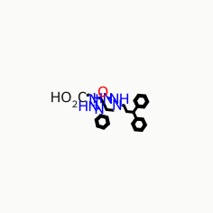 O=C(O)CN1NN(c2ccccc2)C2(CCN(CCC(c3ccccc3)c3ccccc3)NN2)C1=O